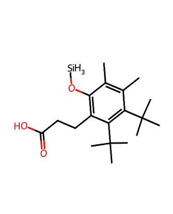 Cc1c(C)c(C(C)(C)C)c(C(C)(C)C)c(CCC(=O)O)c1O[SiH3]